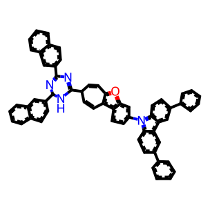 C1=CC(C2=NC(c3ccc4ccccc4c3)=NC(c3ccc4ccccc4c3)N2)C=Cc2c1oc1cc(-n3c4ccc(-c5ccccc5)cc4c4cc(-c5ccccc5)ccc43)ccc21